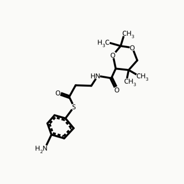 CC1(C)OCC(C)(C)C(C(=O)NCCC(=O)Sc2ccc(N)cc2)O1